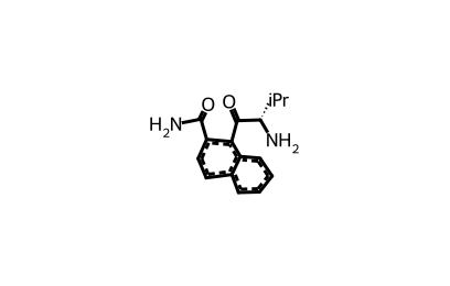 CC(C)[C@H](N)C(=O)c1c(C(N)=O)ccc2ccccc12